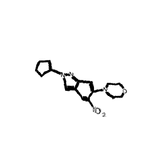 O=[N+]([O-])c1cc2cn(C3CCCC3)nc2cc1N1CCOCC1